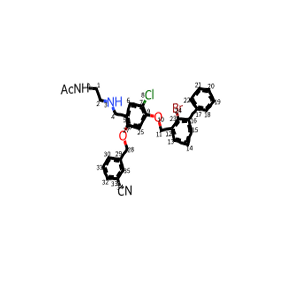 CC(=O)NCCNCc1cc(Cl)c(OCc2cccc(-c3ccccc3)c2Br)cc1OCc1cccc(C#N)c1